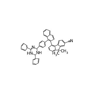 CC1(C)c2cc(C#N)ccc2-c2c(-c3ccc4ccccc4c3-c3ccc(C4N=C(c5ccccc5)NC(c5ccccc5)N4)cc3)cccc21